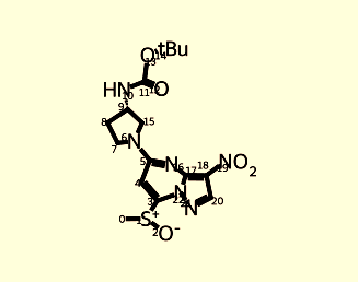 C[S+]([O-])c1cc(N2CC[C@H](NC(=O)OC(C)(C)C)C2)nc2c([N+](=O)[O-])cnn12